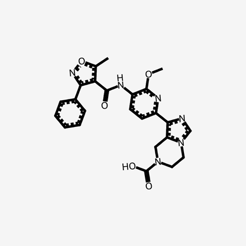 COc1nc(-c2ncn3c2CN(C(=O)O)CC3)ccc1NC(=O)c1c(-c2ccccc2)noc1C